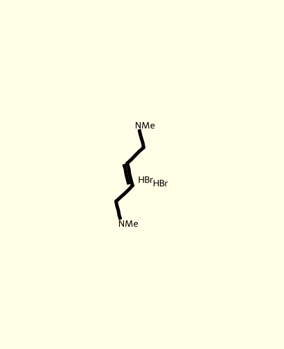 Br.Br.CNCC=CCNC